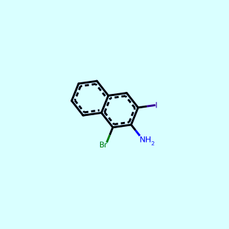 Nc1c(I)cc2ccccc2c1Br